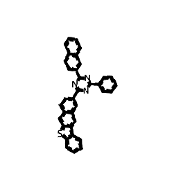 c1ccc(-c2nc(-c3ccc4ccccc4c3)nc(-c3ccc4cc5sc6ccccc6c5cc4c3)n2)cc1